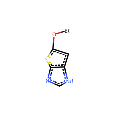 CCOc1cc2[nH]cnc2s1